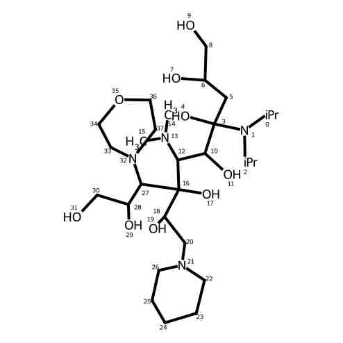 CC(C)N(C(C)C)C(O)(CC(O)CO)C(O)C(N(C)C)C(O)(C(O)CN1CCCCC1)C(C(O)CO)N1CCOCC1